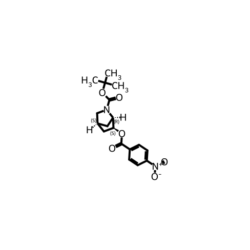 CC(C)(C)OC(=O)N1C[C@@H]2C[C@H](OC(=O)c3ccc([N+](=O)[O-])cc3)[C@H]1C2